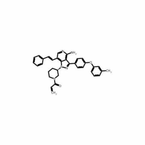 C=CC(=O)N1CCC[C@@H](n2nc(-c3ccc(Oc4cccc(C)c4)cc3)c3c(N)ncc(/C=C/c4ccccc4)c32)C1